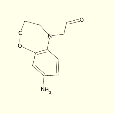 Nc1ccc2c(c1)OCCCN2CC=O